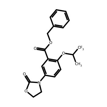 CC(Oc1ccc(N2CCOC2=O)cc1C(=O)OCc1ccccc1)C(F)(F)F